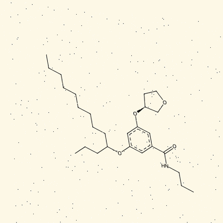 CCCCCCCCCC(CCC)Oc1cc(O[C@H]2CCOC2)cc(C(=O)NCCC)c1